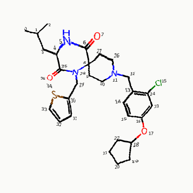 CC(C)CC1NC(=O)C2(CCN(Cc3ccc(OC4CCCC4)cc3Cl)CC2)N(Cc2cccs2)C1=O